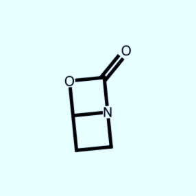 O=C1OC2CCN12